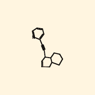 C(#CC1C=CCC2CCCCC12)c1ccccn1